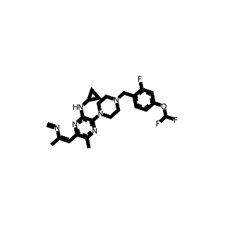 C=N/C(C)=C\c1nc(NC2CC2)c(N2CCN(Cc3ccc(OC(F)F)cc3F)CC2)nc1C